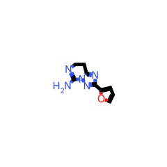 NC1=NCCc2nc(-c3ccco3)nn21